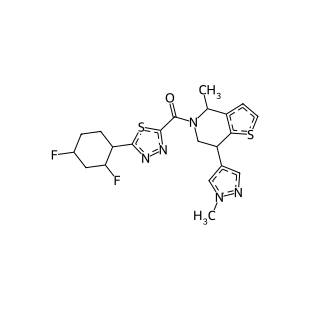 CC1c2ccsc2C(c2cnn(C)c2)CN1C(=O)c1nnc(C2CCC(F)CC2F)s1